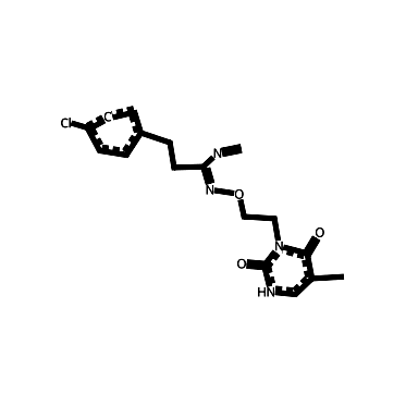 C=N/C(CCc1ccc(Cl)cc1)=N\OCCn1c(=O)[nH]cc(C)c1=O